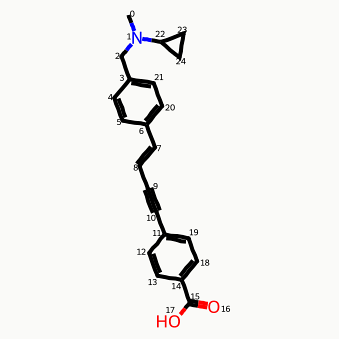 CN(Cc1ccc(/C=C/C#Cc2ccc(C(=O)O)cc2)cc1)C1CC1